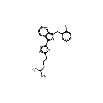 CC(C)OCCc1nc(-c2nn(Cc3ccccc3F)c3ncccc23)n[nH]1